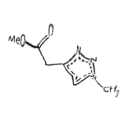 COC(=O)Cc1cn(C)nn1